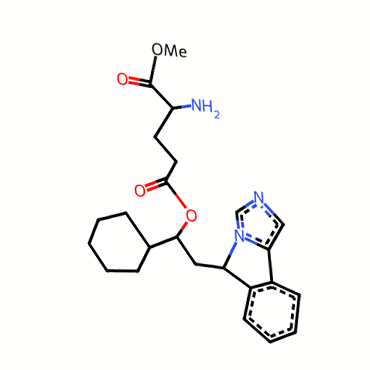 COC(=O)C(N)CCC(=O)OC(CC1c2ccccc2-c2cncn21)C1CCCCC1